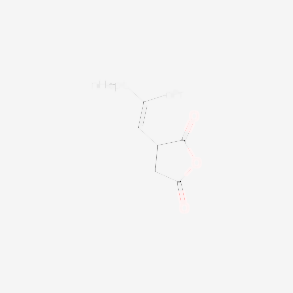 CCCCCCCC(=CC1CC(=O)OC1=O)CCC